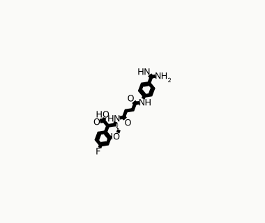 N=C(N)c1ccc(NC(=O)CCC(=O)N[C@H](CO)C(C(=O)O)c2ccc(F)cc2)cc1